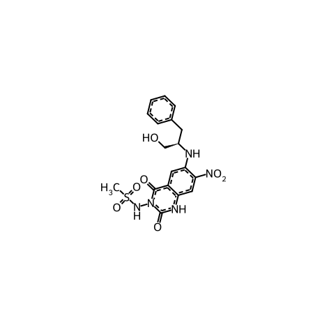 CS(=O)(=O)Nn1c(=O)[nH]c2cc([N+](=O)[O-])c(N[C@@H](CO)Cc3ccccc3)cc2c1=O